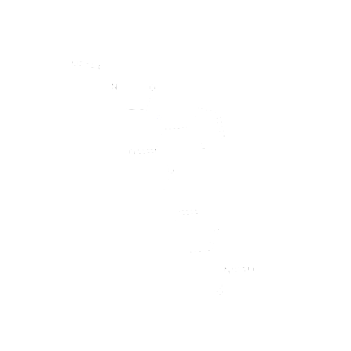 O=C(OCc1ccc([N+](=O)[O-])cc1)/C(=C1\CN2C(=O)CC2O1)c1cccs1